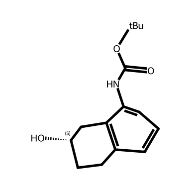 CC(C)(C)OC(=O)Nc1cccc2c1C[C@@H](O)CC2